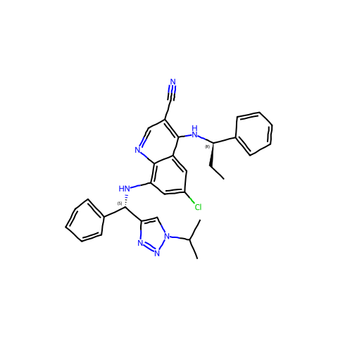 CC[C@@H](Nc1c(C#N)cnc2c(N[C@@H](c3ccccc3)c3cn(C(C)C)nn3)cc(Cl)cc12)c1ccccc1